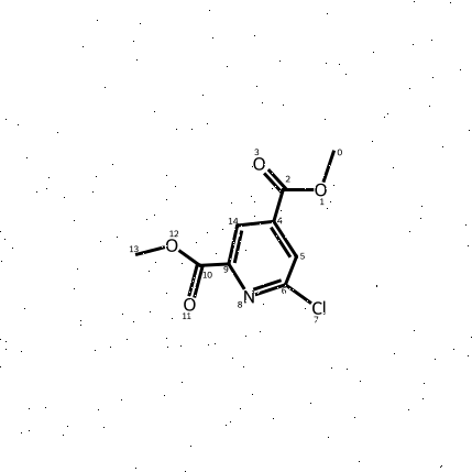 COC(=O)c1cc(Cl)nc(C(=O)OC)c1